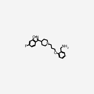 NCc1c[c]ccc1OCCCN1CCC(c2noc3cc(F)ccc23)CC1